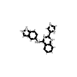 c1ccc2c(Nc3ccc4oncc4c3)nc(-c3cncs3)nc2c1